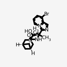 CC(C)(NC(=O)[C@@H]1[C@@H]2C[C@H]1CN(C(=O)O)C2)c1ncc2c(Br)cccn12